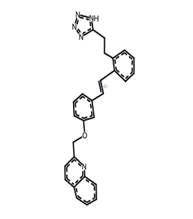 C(=C\c1ccccc1CCc1nnn[nH]1)/c1cccc(OCc2ccc3ccccc3n2)c1